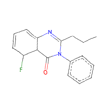 CCCC1=NC2=CC=CC(F)C2C(=O)N1c1ccccc1